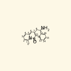 Cc1cccc2cc(CCN)c(-c3ccccc3)c(=O)n12